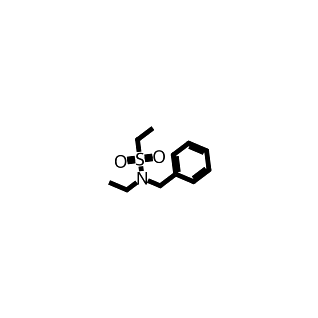 CCN(Cc1ccccc1)S(=O)(=O)CC